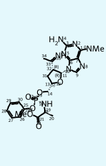 CNc1nc(N)nc2c1ncn2[C@@H]1O[C@H](CO[P@@](=O)(N[C@@H](C)C(=O)OC)Oc2ccccc2)C[C@@H]1C(C)=N